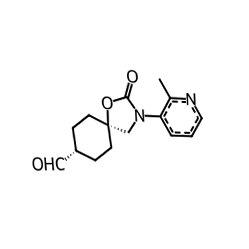 Cc1ncccc1N1C[C@]2(CC[C@@H](C=O)CC2)OC1=O